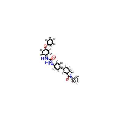 CC(C)C(C(=O)O)N1Cc2ccc(-c3ccc(NC(=O)Nc4ccc(Oc5ccccc5)cc4)cc3)cc2C1=O